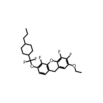 CCCC1CCC(C(F)(F)Oc2ccc3c(c2F)Oc2c(cc(OCC)c(F)c2F)C3)CC1